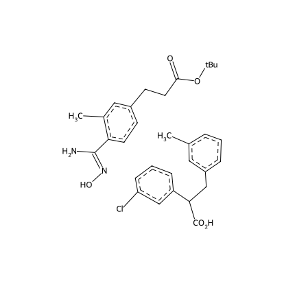 Cc1cc(CCC(=O)OC(C)(C)C)ccc1/C(N)=N/O.Cc1cccc(CC(C(=O)O)c2cccc(Cl)c2)c1